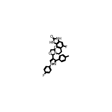 Cc1ccc(-c2nn(-c3ccc(F)cc3)cc2C2OCC(=O)N2CCc2cc3[nH]c(=O)[nH]c3cc2F)cc1